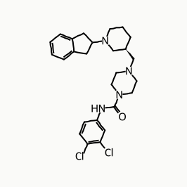 O=C(Nc1ccc(Cl)c(Cl)c1)N1CCN(C[C@@H]2CCCN(C3Cc4ccccc4C3)C2)CC1